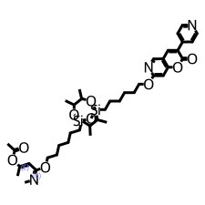 C/N=C(\C=C(/C)OC(C)=O)OCCCCCC[Si]12OC(C)C(C)O[Si](CCCCCCOc3cc4oc(=O)c(-c5ccncc5)cc4cn3)(O1)C(C)C2C